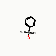 CC[Si](O)(c1ccccc1)C(C)(C)C